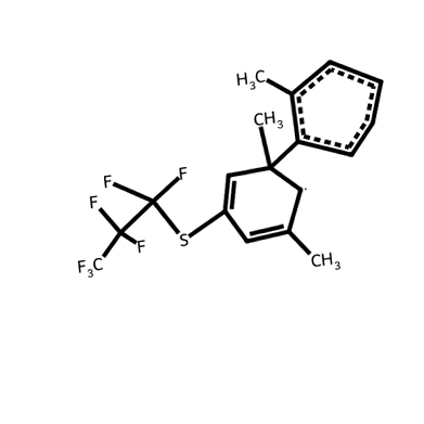 CC1=CC(SC(F)(F)C(F)(F)C(F)(F)F)=CC(C)(c2ccccc2C)[CH]1